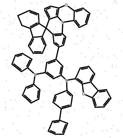 C1=CC2=C(CC1)c1ccccc1C21c2cc(-c3cc(N(c4ccccc4)c4ccccc4)cc(N(c4ccc(-c5ccccc5)cc4)c4cccc5c4oc4ccccc45)c3)ccc2N2c3ccccc3Oc3cccc1c32